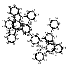 c1ccc(-c2nc(-c3ccccc3)nc(-c3cc(-c4nc(-c5ccccc5-n5c6ccccc6c6ccccc65)nc(-n5c6ccccc6c6ccccc65)n4)ccc3-n3c4ccccc4c4ccccc43)n2)cc1